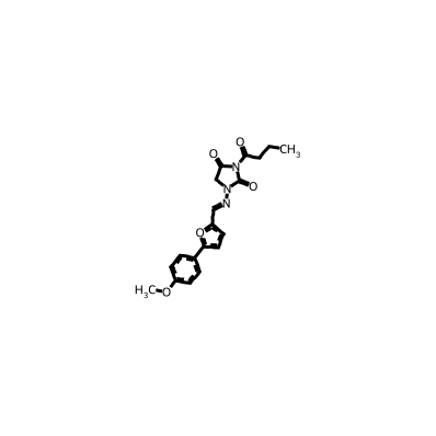 CCCC(=O)N1C(=O)CN(/N=C/c2ccc(-c3ccc(OC)cc3)o2)C1=O